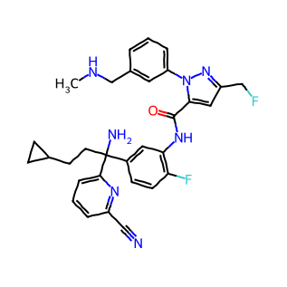 CNCc1cccc(-n2nc(CF)cc2C(=O)Nc2cc(C(N)(CCC3CC3)c3cccc(C#N)n3)ccc2F)c1